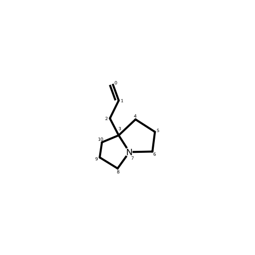 C=CCC12CCCN1CCC2